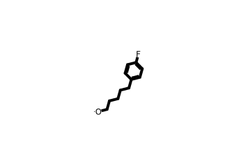 [O]CCCCCc1ccc(F)cc1